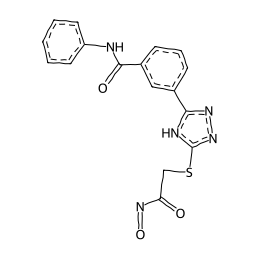 O=NC(=O)CSc1nnc(-c2cccc(C(=O)Nc3ccccc3)c2)[nH]1